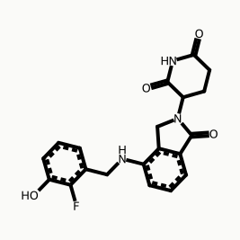 O=C1CCC(N2Cc3c(NCc4cccc(O)c4F)cccc3C2=O)C(=O)N1